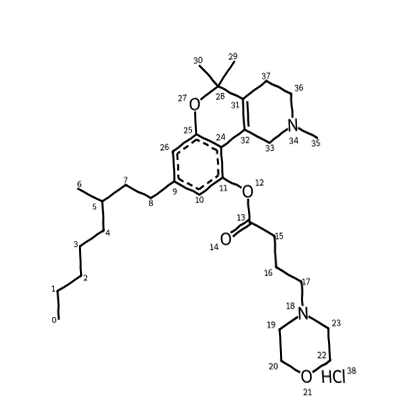 CCCCCC(C)CCc1cc(OC(=O)CCCN2CCOCC2)c2c(c1)OC(C)(C)C1=C2CN(C)CC1.Cl